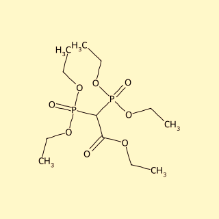 CCOC(=O)C(P(=O)(OCC)OCC)P(=O)(OCC)OCC